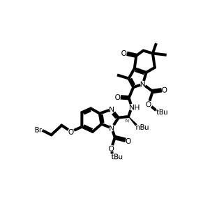 CCCC[C@H](NC(=O)c1c(C)c2c(n1C(=O)OC(C)(C)C)CC(C)(C)CC2=O)c1nc2ccc(OCCBr)cc2n1C(=O)OC(C)(C)C